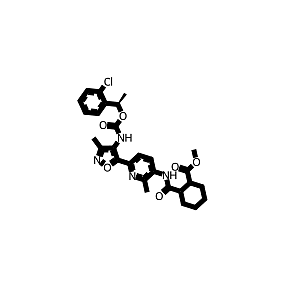 COC(=O)C1CCCCC1C(=O)Nc1ccc(-c2onc(C)c2NC(=O)O[C@H](C)c2ccccc2Cl)nc1C